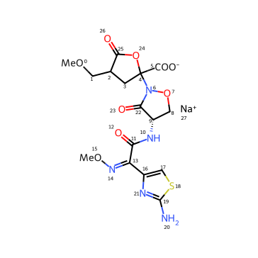 COCC1CC(C(=O)[O-])(N2OC[C@H](NC(=O)/C(=N\OC)c3csc(N)n3)C2=O)OC1=O.[Na+]